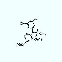 COc1cc(SC)nnc1N(c1cc(Cl)cc(Cl)c1)S(C)(=O)=O